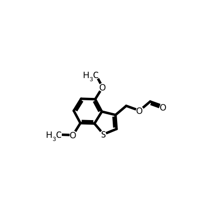 COc1ccc(OC)c2c(COC=O)csc12